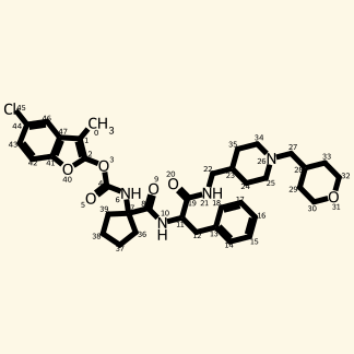 Cc1c(OC(=O)NC2(C(=O)NC(Cc3ccccc3)C(=O)NCC3CCN(CC4CCOCC4)CC3)CCCC2)oc2ccc(Cl)cc12